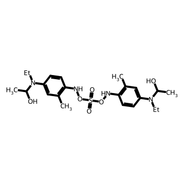 CCN(c1ccc(NOS(=O)(=O)ONc2ccc(N(CC)C(C)O)cc2C)c(C)c1)C(C)O